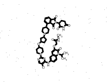 CNC(=O)COc1cc2cc(Nc3nc(N4CCC(OC5CCC(N6CCC(c7cccc8c7C(=O)N(C7CCC(=O)NC7=O)C8=O)CC6)C5)CC4)ncc3Cl)ccc2n(C(C)C)c1=O